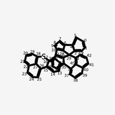 c1ccc2c(c1)-c1cccc(-c3cccc4c3Sc3cccc5cccc-4c35)c1C21c2ccccc2-c2cccc3cccc1c23